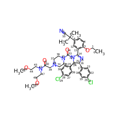 CCOc1ccc(C(C)(C)C#N)cc1C1=N[C@@H](c2ccc(Cl)cc2)[C@@H](c2ccc(Cl)cc2)N1C(=O)N1CCN(CC(=O)N(CCOC)CCOC)CC1